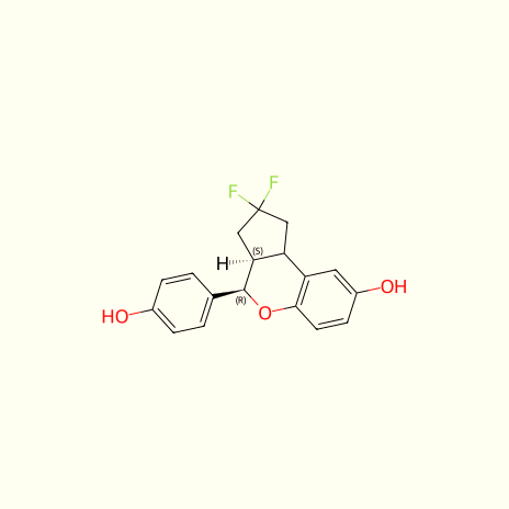 Oc1ccc([C@@H]2Oc3ccc(O)cc3C3CC(F)(F)C[C@@H]32)cc1